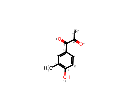 Cc1cc(C(=O)C(=O)C(C)C)ccc1O